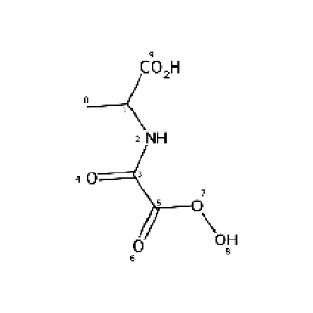 CC(NC(=O)C(=O)OO)C(=O)O